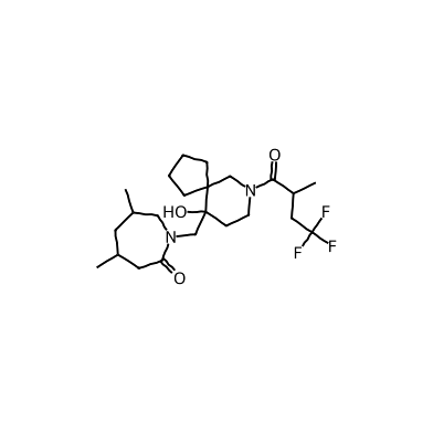 CC1CC(=O)N(CC2(O)CCN(C(=O)C(C)CC(F)(F)F)CC23CCCC3)CC(C)C1